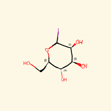 OC[C@H]1OC(I)[C@@H](O)[C@@H](O)[C@@H]1O